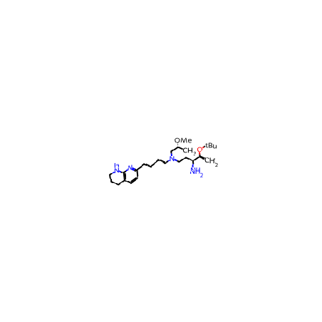 C=C(OC(C)(C)C)C(N)CCN(CCCCc1ccc2c(n1)NCCC2)C[C@@H](C)OC